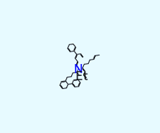 C=C/C=C(/CCC/C=C/C)N(/C=C/C=C(\C=C)C1=CCCC=C1)C(CC)CCCC1=CC=CCC1c1ccccc1